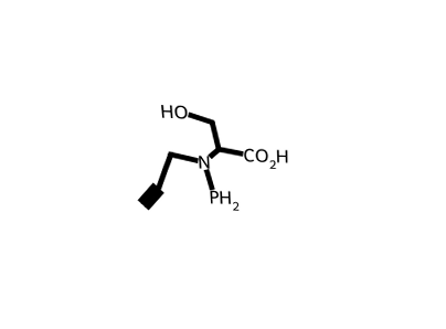 C#CCN(P)C(CO)C(=O)O